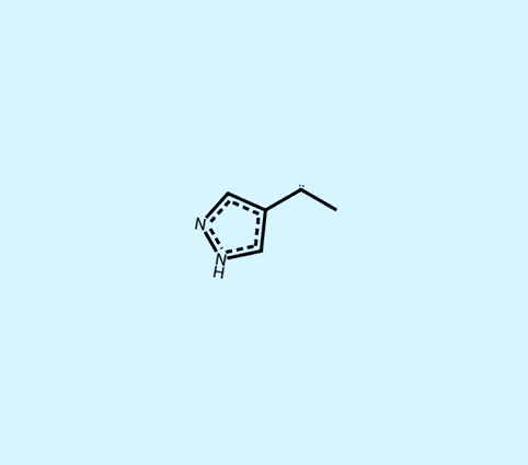 C[C]c1cn[nH]c1